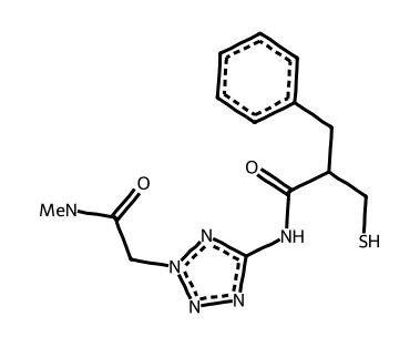 CNC(=O)Cn1nnc(NC(=O)C(CS)Cc2ccccc2)n1